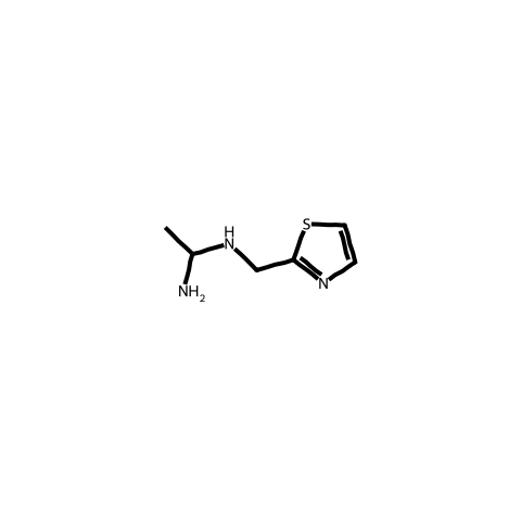 CC(N)NCc1nccs1